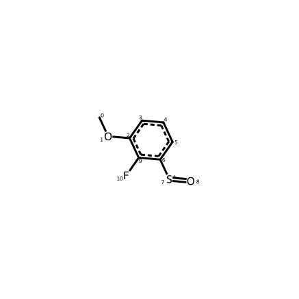 COc1cccc([S+]=O)c1F